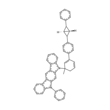 CC1(n2c3ccccc3c3cc4c5ccccc5n(-c5ccccc5)c4cc32)C=C(c2ccc(C3[C@H]4C(c5ccccc5)[C@H]34)cc2)C=CC1